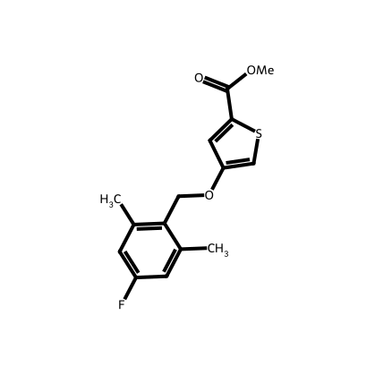 COC(=O)c1cc(OCc2c(C)cc(F)cc2C)cs1